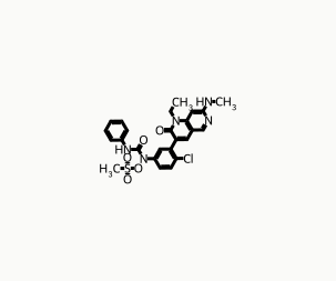 CCn1c(=O)c(-c2cc(N(OS(C)(=O)=O)C(=O)Nc3ccccc3)ccc2Cl)cc2cnc(NC)cc21